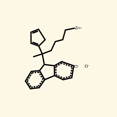 CC(CCC[CH2][Zr+2])(C1=CC=CC1)C1c2ccccc2-c2ccccc21.[Cl-].[Cl-]